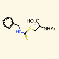 CC(=O)NC(CSC(=S)NCc1ccccc1)C(=O)O